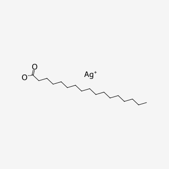 CCCCCCCCCCCCCCCCC(=O)[O-].[Ag+]